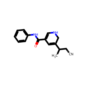 CC(CC#N)C1=CC(C(=O)Nc2ccccc2)=CNC1